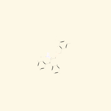 Cc1cc(C)cc(COCC(NC=O)C(c2ccccc2)c2ccccc2)c1